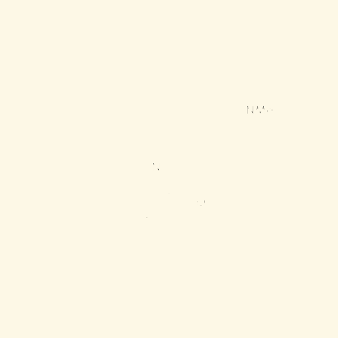 CNCCC(c1cccc(F)c1)N1C(=O)C2(CCCCC2)c2ccccc21